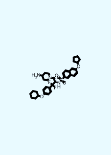 NC1CCN(C(=O)[C@@H](NS(=O)(=O)c2ccc3cc(OC4CCCC4)ccc3c2)C(F)(F)c2ccc(OC3CCCCC3)cc2)CC1